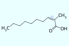 CCCCCCC/C=C(/C)C(=O)O